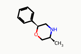 C[C@H]1CO[C@@H](c2ccccc2)CN1